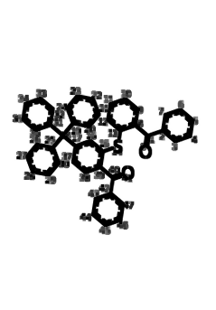 O=C(c1ccccc1)c1ccccc1Sc1cc(C(c2ccccc2)(c2ccccc2)c2ccccc2)ccc1C(=O)c1ccccc1